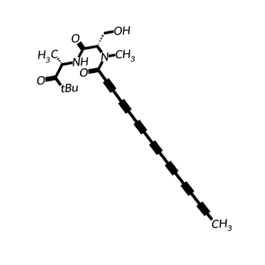 CC#CC#CC#CC#CC#CC#CC#CC(=O)N(C)[C@@H](CO)C(=O)N[C@@H](C)C(=O)C(C)(C)C